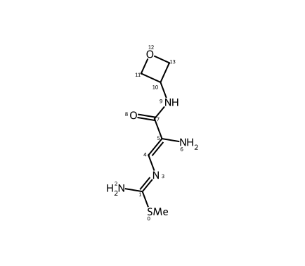 CS/C(N)=N/C=C(\N)C(=O)NC1COC1